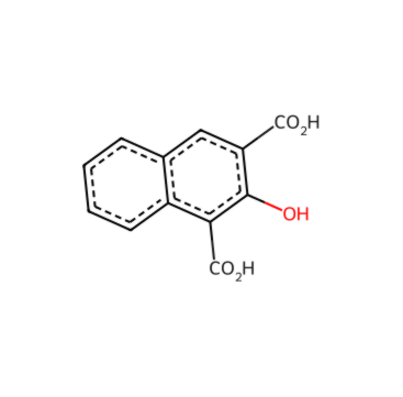 O=C(O)c1cc2ccccc2c(C(=O)O)c1O